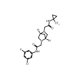 O=C(CN1C[C@H]2C[C@@H]1CN2CC(=O)NC1(C(F)(F)F)CC1)Nc1cc(F)cc(Cl)c1